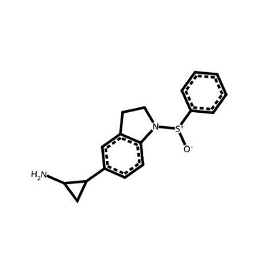 NC1CC1c1ccc2c(c1)CCN2[S+]([O-])c1ccccc1